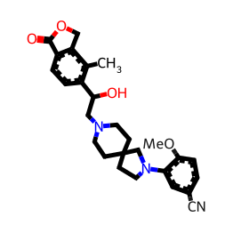 COc1ccc(C#N)cc1N1CCC2(CCN(CC(O)c3ccc4c(c3C)COC4=O)CC2)C1